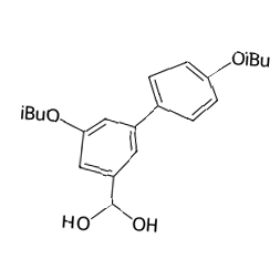 CC(C)COc1ccc(-c2cc(OCC(C)C)cc(C(O)O)c2)cc1